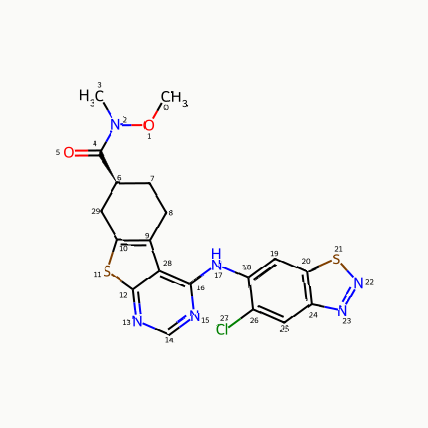 CON(C)C(=O)[C@H]1CCc2c(sc3ncnc(Nc4cc5snnc5cc4Cl)c23)C1